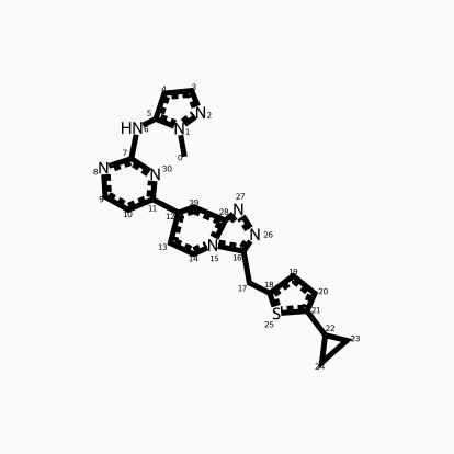 Cn1nccc1Nc1nccc(-c2ccn3c(Cc4ccc(C5CC5)s4)nnc3c2)n1